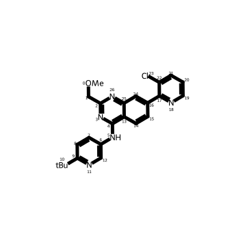 COCc1nc(Nc2ccc(C(C)(C)C)nc2)c2ccc(-c3ncccc3Cl)cc2n1